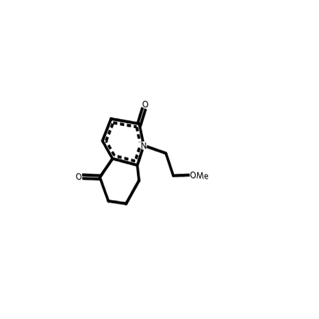 COCCn1c2c(ccc1=O)C(=O)CCC2